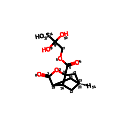 O=C1OC2(C(=O)OCC(O)(O)S(=O)(=O)O)C[C@@H]3CC1C2C3